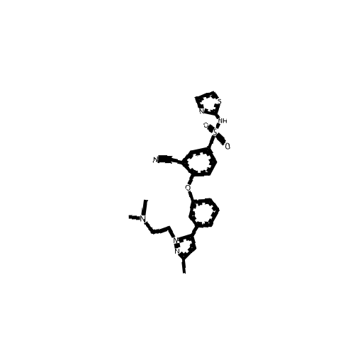 Cc1cc(-c2cccc(Oc3ccc(S(=O)(=O)Nc4nccs4)cc3C#N)c2)n(CCN(C)C)n1